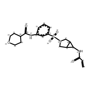 C=CC(=O)NC1C2CN(S(=O)(=O)c3cccc(NC(=O)C4CCOCC4)c3)CC21